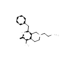 COCCN1CCc2c(c(Cc3ccccc3)[nH]c(=O)c2C#N)C1